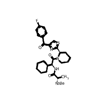 CN[C@@H](C)C(=O)N[C@H](C(=O)N1CCCC[C@@H]1c1nc(C(=O)c2ccc(F)cc2)cs1)C1CCCCC1